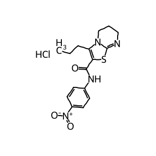 CCCC1=C(C(=O)Nc2ccc([N+](=O)[O-])cc2)SC2=NCCCN21.Cl